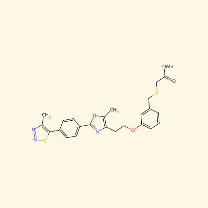 COC(=O)CSCc1cccc(OCCc2nc(-c3ccc(-c4snnc4C)cc3)oc2C)c1